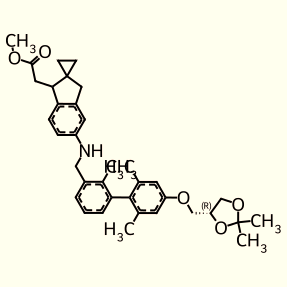 COC(=O)CC1c2ccc(NCc3cccc(-c4c(C)cc(OC[C@@H]5COC(C)(C)O5)cc4C)c3C)cc2CC12CC2